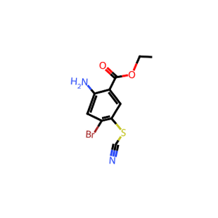 CCOC(=O)c1cc(SC#N)c(Br)cc1N